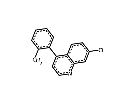 Cc1ccccc1-c1ccnc2cc(Cl)ccc12